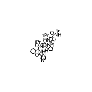 CCC[C@H](NC(=O)[C@@H]1[C@H]2CCC[C@H]2CN1C(=O)[C@@H](NC(=O)[C@@H](NC(=O)c1cnccn1)C1CCCCC1)C(C)C)C(=O)C(=O)NC1CC1